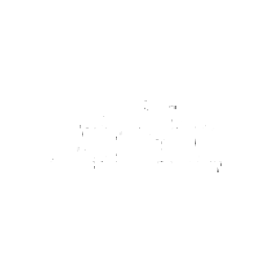 Oc1ccc2c(-c3ccc(F)cc3F)noc2c1Cl